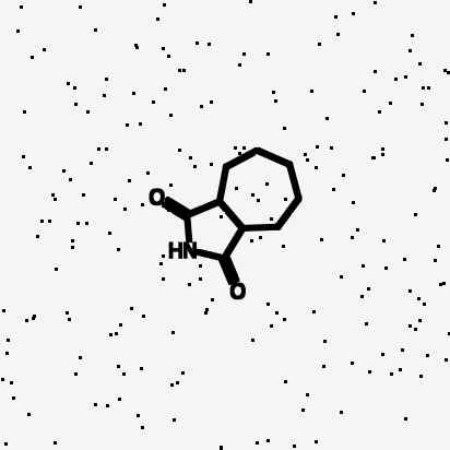 O=C1NC(=O)C2CCCCCC12